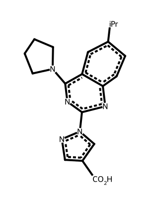 CC(C)c1ccc2nc(-n3cc(C(=O)O)cn3)nc(N3CCCC3)c2c1